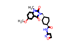 COc1ccc2c(c1)c(=O)n(C[C@H]1CC[C@H](C(=O)Nc3ccon3)CC1)c(=O)n2C